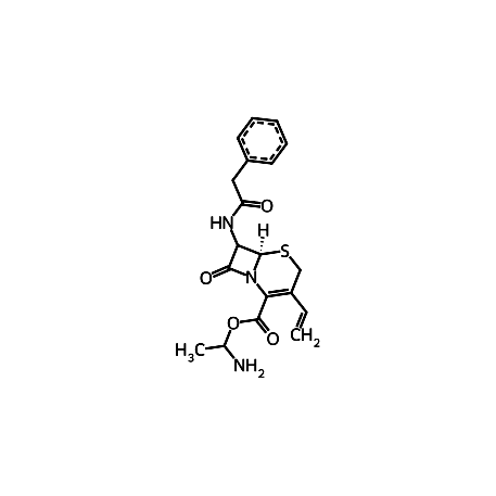 C=CC1=C(C(=O)OC(C)N)N2C(=O)C(NC(=O)Cc3ccccc3)[C@H]2SC1